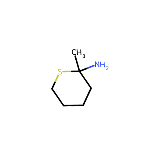 CC1(N)CCCCS1